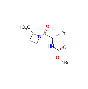 CC(C)[C@H](NC(=O)OC(C)(C)C)C(=O)N1CCC1C(=O)O